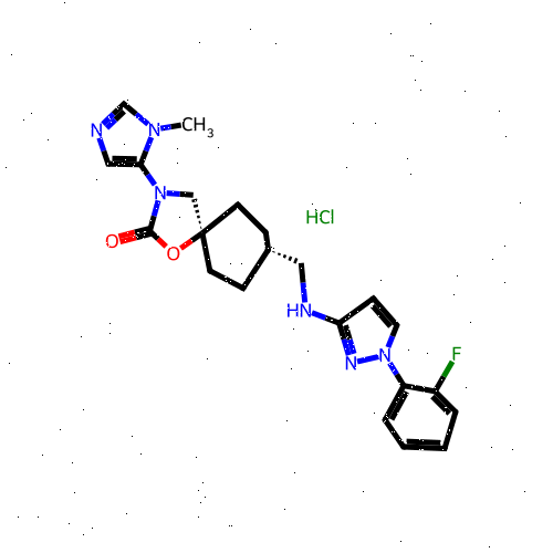 Cl.Cn1cncc1N1C[C@]2(CC[C@@H](CNc3ccn(-c4ccccc4F)n3)CC2)OC1=O